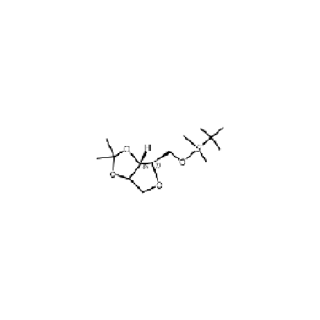 CC1(C)OC2CO[C@H](CO[Si](C)(C)C(C)(C)C)[C@H]2O1